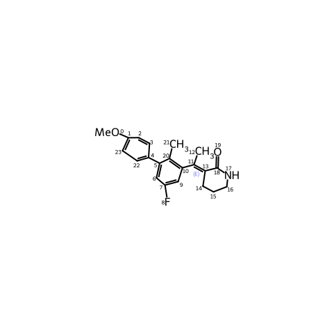 COc1ccc(-c2cc(F)cc(/C(C)=C3\CCCNC3=O)c2C)cc1